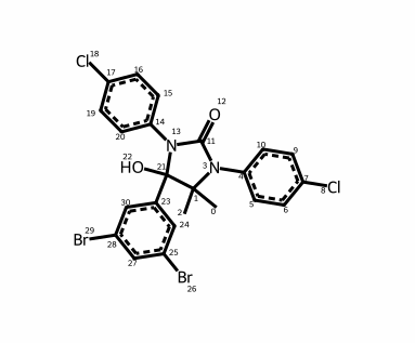 CC1(C)N(c2ccc(Cl)cc2)C(=O)N(c2ccc(Cl)cc2)C1(O)c1cc(Br)cc(Br)c1